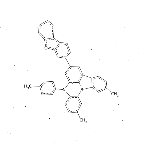 Cc1ccc(N2c3ccc(C)cc3B3c4cc(C)ccc4-c4cc(-c5ccc6c(c5)oc5ccccc56)cc2c43)cc1